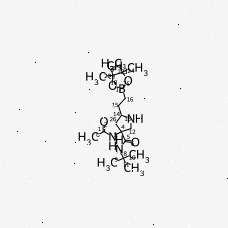 CC(=O)NC1(C(=O)NC(C)(C)C)CNC(CCB2OC(C)(C)C(C)(C)O2)C1